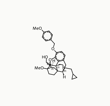 COc1ccc(COc2ccc3c4c2O[C@H]2C5(OC)CCC6(C[C@@H]5CO)[C@@H](C3)N(CC3CC3)CC[C@]426)cc1